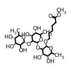 COC(=O)CCCCCO[C@H]1OC(C)[C@@H](O)[C@H](O)C1O[C@H]1OC(C)[C@@H](O)[C@H](O)C1O[C@H]1OC(C)[C@@H](O)[C@H](O)C1O